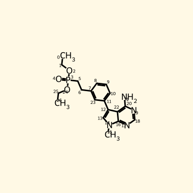 CCOP(=O)(CCc1cccc(-c2cn(C)c3ncnc(N)c23)c1)OCC